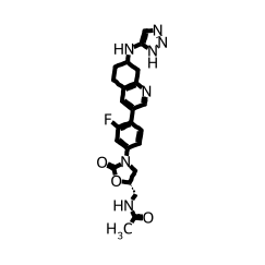 CC(=O)NC[C@H]1CN(c2ccc(-c3cnc4c(c3)CCC(Nc3cnn[nH]3)C4)c(F)c2)C(=O)O1